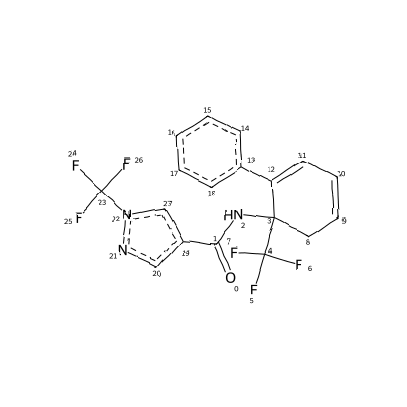 O=C(NC1(C(F)(F)F)CC=CC=C1c1ccccc1)c1cnn(C(F)(F)F)c1